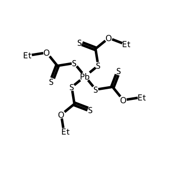 CCOC(=S)[S][Pb]([S]C(=S)OCC)([S]C(=S)OCC)[S]C(=S)OCC